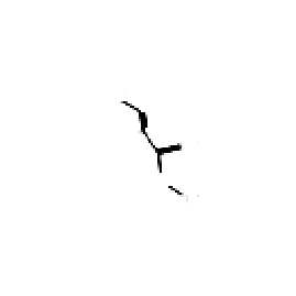 CC(C)(C)OC(=O)C=CC=O